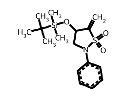 C=C1C(O[Si](C)(C)C(C)(C)C)CN(c2ccccc2)S1(=O)=O